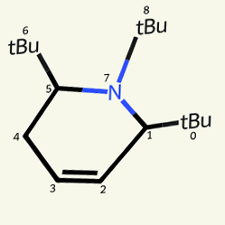 CC(C)(C)C1C=CCC(C(C)(C)C)N1C(C)(C)C